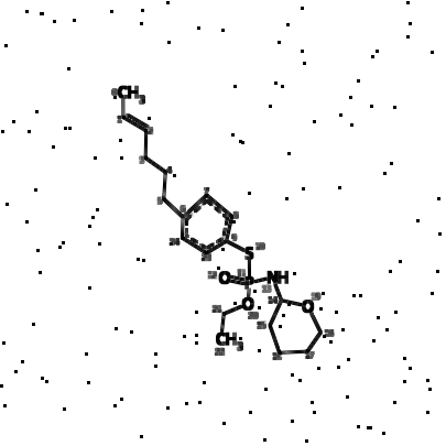 CC=CCCCc1ccc(SP(=O)(NC2CCCCO2)OCC)cc1